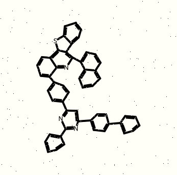 c1ccc(-c2ccc(-c3cc(-c4ccc(-c5cccc6c5nc(-c5cccc7ccccc57)c5c7ccccc7sc65)cc4)nc(-c4ccccc4)n3)cc2)cc1